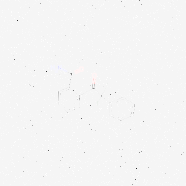 NC(=O)c1ccccc1C(=O)C(Cl)(Cl)c1ccccc1